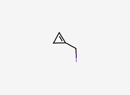 ICC1=CC1